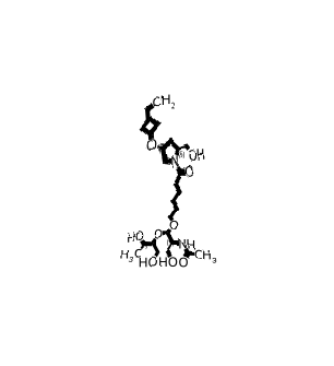 C=CC1CC(O[C@@H]2C[C@@H](CO)N(C(=O)CCCCCOC(OC(CO)[C@@H](C)O)[C@H](CO)NC(C)=O)C2)C1